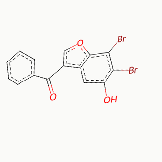 O=C(c1ccccc1)c1coc2c(Br)c(Br)c(O)cc12